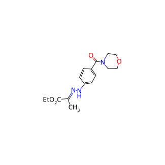 CCOC(=O)C(C)=NNc1ccc(C(=O)N2CCOCC2)cc1